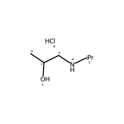 CC(O)CNC(C)C.Cl